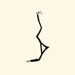 N=CC1CC1CCCN